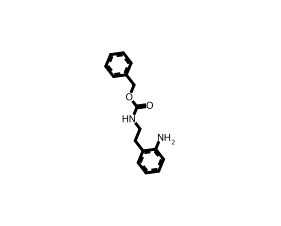 Nc1ccccc1CCNC(=O)OCc1ccccc1